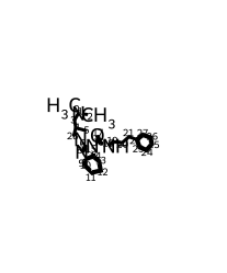 CN(C)CC1CN(c2nc3ccccc3n2C(=O)NCCCc2ccccc2)C1